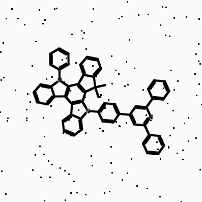 CC1(C)c2ccccc2-c2c1c1c(c3ccccc3n1-c1ccc(-c3cc(-c4ccccc4)nc(-c4ccccc4)c3)cc1)c1c3ccccc3n(-c3ccccc3)c21